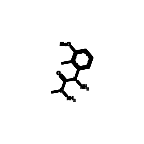 COc1cccc(N(N)C(=O)N(C)N)c1C